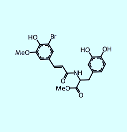 COC(=O)C(Cc1ccc(O)c(O)c1)NC(=O)C=Cc1cc(Br)c(O)c(OC)c1